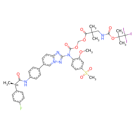 COc1cc(S(C)(=O)=O)ccc1N(C(=O)OCOC(=O)C(C)(C)CNC(=O)OC(C)(C)C(I)(I)I)c1nc2ccc(-c3ccc(NC(=O)[C@H](C)c4ccc(F)cc4)cc3)cn2n1